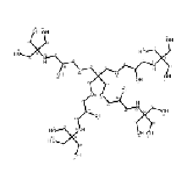 OCC(CO)(CO)NCC(O)COCC(COCC(O)CNC(CO)(CO)CO)(COCC(O)CNC(CO)(CO)CO)COCC(O)CNC(CO)(CO)CO